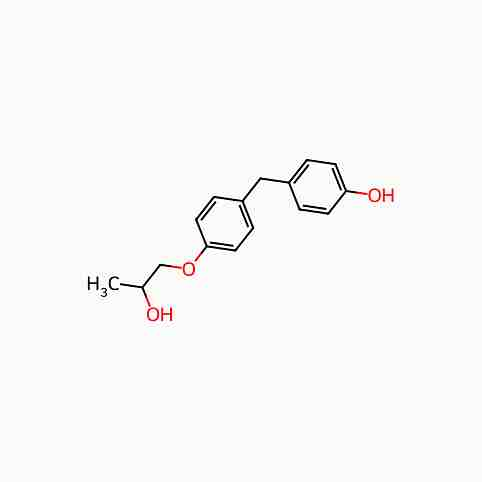 CC(O)COc1ccc(Cc2ccc(O)cc2)cc1